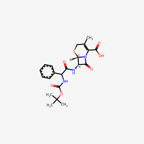 CC1=C(C(=O)O)N2C(=O)[C@@H](NC(=O)C(NC(=O)OC(C)(C)C)c3ccccc3)[C@@H]2SC1